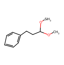 COC(CCc1ccccc1)O[SiH3]